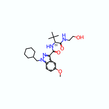 COc1ccc2c(c1)c(C(=O)N[C@H](C(=O)NCCO)C(C)(C)C)nn2CC1CCCCC1